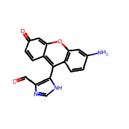 Nc1ccc2c(-c3[nH]cnc3C=O)c3ccc(=O)cc-3oc2c1